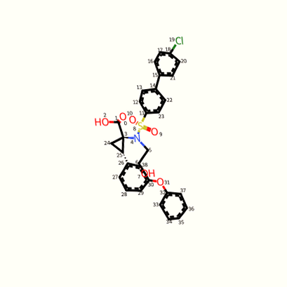 O=C(O)[C@@]1(N(CCO)S(=O)(=O)c2ccc(-c3ccc(Cl)cc3)cc2)C[C@H]1c1cccc(Oc2ccccc2)c1